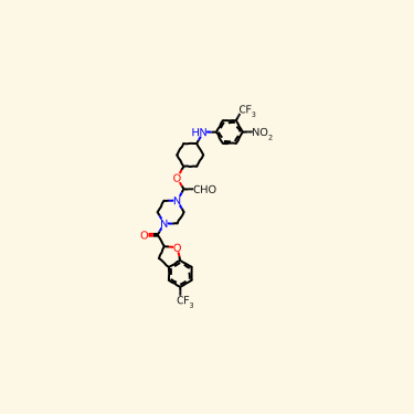 O=CC(OC1CCC(Nc2ccc([N+](=O)[O-])c(C(F)(F)F)c2)CC1)N1CCN(C(=O)C2Cc3cc(C(F)(F)F)ccc3O2)CC1